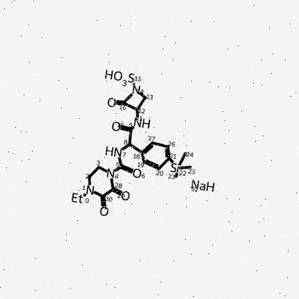 CCN1CCN(C(=O)NC(C(=O)NC2CN(S(=O)(=O)O)C2=O)c2ccc([Si](C)(C)C)cc2)C(=O)C1=O.[NaH]